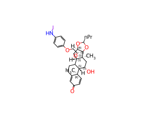 CCCC1O[C@@H]2C[C@H]3C4CCC5=CC(=O)C=C[C@]5(C)[C@H]4[C@@H](O)C[C@]3(C)[C@]2(C(=O)COc2ccc(NI)cc2)O1